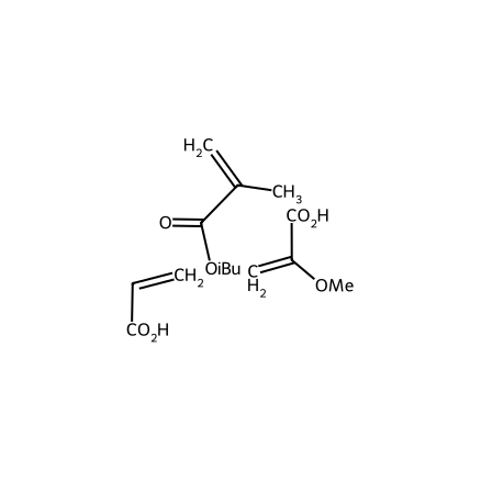 C=C(C)C(=O)OCC(C)C.C=C(OC)C(=O)O.C=CC(=O)O